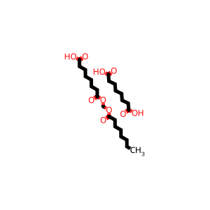 CCCCCCCC(=O)OCOC(=O)CCCCCCC(=O)O.O=C(O)CCCCCCC(=O)O